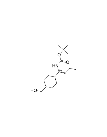 CCC[C@H](NC(=O)OC(C)(C)C)C1CCC(CO)CC1